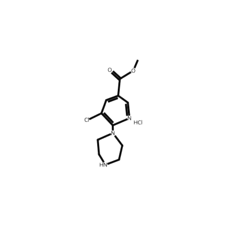 COC(=O)c1cnc(N2CCNCC2)c(Cl)c1.Cl